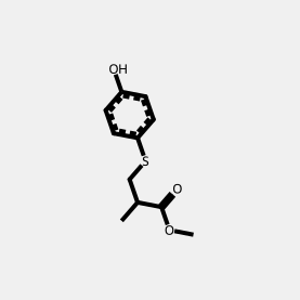 COC(=O)C(C)CSc1ccc(O)cc1